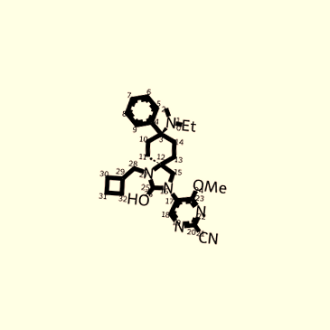 CCN(C)[C@]1(c2ccccc2)CC[C@]2(CC1)CN(c1cnc(C#N)nc1OC)C(O)N2CC1CCC1